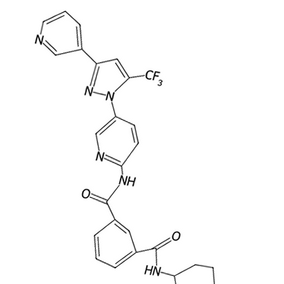 O=C(Nc1ccc(-n2nc(-c3cccnc3)cc2C(F)(F)F)cn1)c1cccc(C(=O)NC2CCCCC2)c1